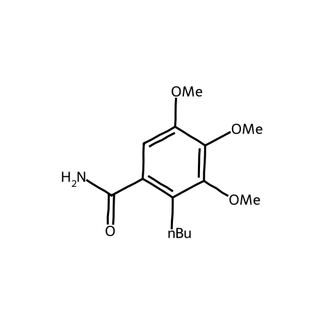 CCCCc1c(C(N)=O)cc(OC)c(OC)c1OC